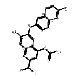 CC(=O)Oc1cc(C(F)F)nc2cc(C)c(Oc3ccc4cc(Br)ccc4c3)cc12